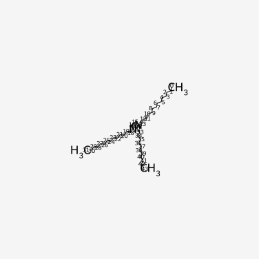 CCCCCCCCCCCCCCn1cc[n+](CCCCCCCCCCCCCC)c1CCCCCCCCCCC